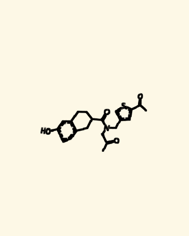 CC(=O)CN(Cc1csc(C(C)=O)c1)C(=O)C1CCc2cc(O)ccc2C1